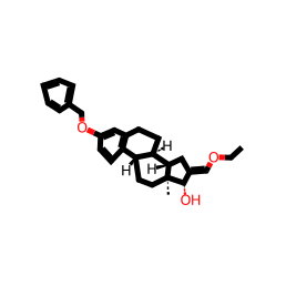 CCO/C=C1\C[C@H]2[C@@H]3CCc4cc(OCc5ccccc5)ccc4[C@H]3CC[C@]2(C)[C@H]1O